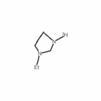 [3H]N1CCN(CC)C1